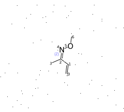 [CH]=C/C(C)=N\OC